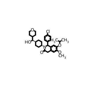 COc1cc2c(cc1OC(C)C)C(c1ccc(Cl)cc1)N([C@H]1CC[C@H](C(O)C3CCOCC3)CC1)C(=O)C2